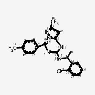 CC(N/C(=N/C(=O)c1ccc(C(F)(F)F)cc1)Nc1cc(C(F)(F)F)[nH]n1)c1ccccc1Cl